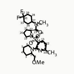 COCC1CCCCN1c1nc(C)ccc1S(=O)(=O)N1CCC[C@H]1C(=O)N(C)C1CCC(F)(F)CC1